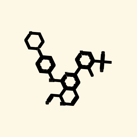 Cc1c(-c2cc3c(c(Nc4ccc(N5CCOCC5)cc4)n2)C(C=O)NC=C3)cncc1S(C)(=O)=O